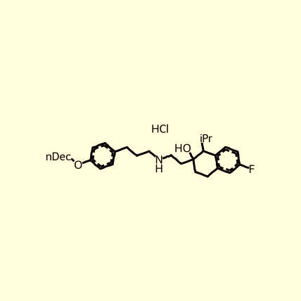 CCCCCCCCCCOc1ccc(CCCNCCC2(O)CCc3cc(F)ccc3C2C(C)C)cc1.Cl